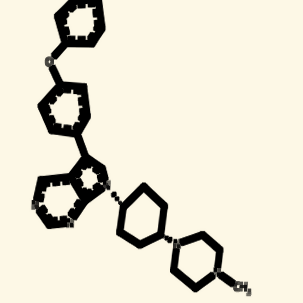 CN1CCN([C@H]2CC[C@@H](n3cc(-c4ccc(Oc5ccccc5)cc4)c4cncnc43)CC2)CC1